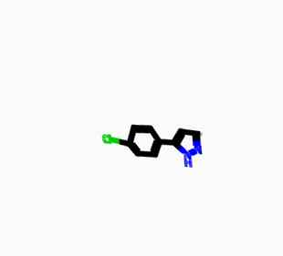 Clc1ccc(-c2c[c]n[nH]2)cc1